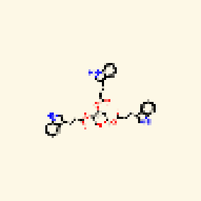 O=C(CCc1c[nH]c2ccccc12)O[C@H]1C[C@@H](OC(=O)CCc2c[nH]c3ccccc23)[C@@H](OC(=O)CCc2c[nH]c3ccccc23)CO1